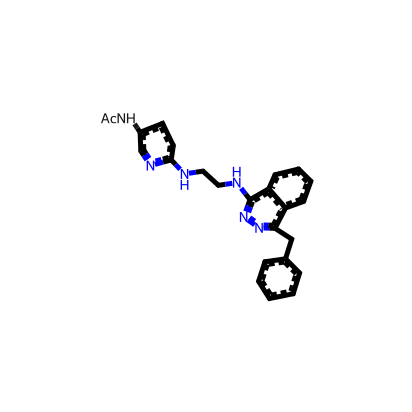 CC(=O)Nc1ccc(NCCNc2nnc(Cc3ccccc3)c3ccccc23)nc1